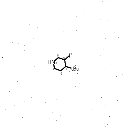 CC(C)(C)C1CCNCC1I